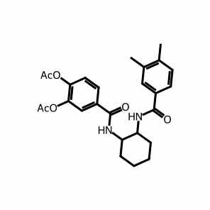 CC(=O)Oc1ccc(C(=O)NC2CCCCC2NC(=O)c2ccc(C)c(C)c2)cc1OC(C)=O